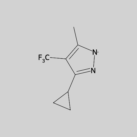 CC1=C(C(F)(F)F)C(C2CC2)=N[N]1